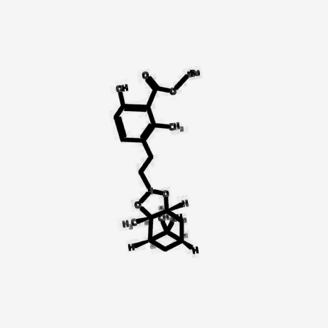 Cc1c(CCB2O[C@@H]3C[C@@H]4C[C@@H](C4(C)C)[C@]3(C)O2)ccc(O)c1C(=O)OC(C)(C)C